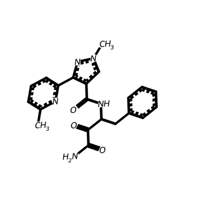 Cc1cccc(-c2nn(C)cc2C(=O)NC(Cc2ccccc2)C(=O)C(N)=O)n1